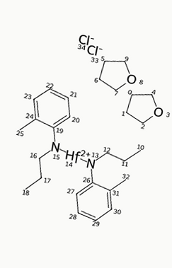 C1CCOC1.C1CCOC1.CCC[N]([Hf+2][N](CCC)c1ccccc1C)c1ccccc1C.[Cl-].[Cl-]